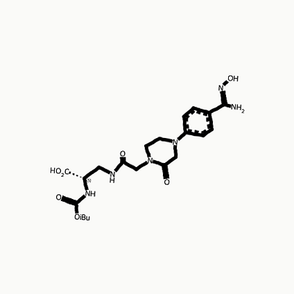 CC(C)COC(=O)N[C@@H](CNC(=O)CN1CCN(c2ccc(C(N)=NO)cc2)CC1=O)C(=O)O